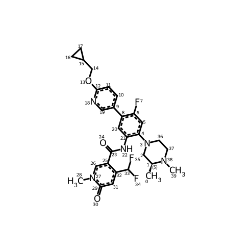 C[C@H]1CN(c2cc(F)c(-c3ccc(OCC4CC4)nc3)cc2NC(=O)c2cn(C)c(=O)cc2C(F)F)CCN1C